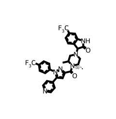 CC1CN(C2C(=O)Nc3cc(C(F)(F)F)ccc32)C[C@H](C)N1C(=O)c1cc(-c2ccncc2)n(-c2ccc(C(F)(F)F)cc2)n1